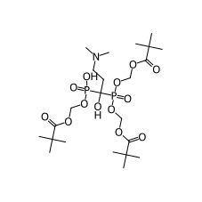 CN(C)CCC(O)(P(=O)(O)OCOC(=O)C(C)(C)C)P(=O)(OCOC(=O)C(C)(C)C)OCOC(=O)C(C)(C)C